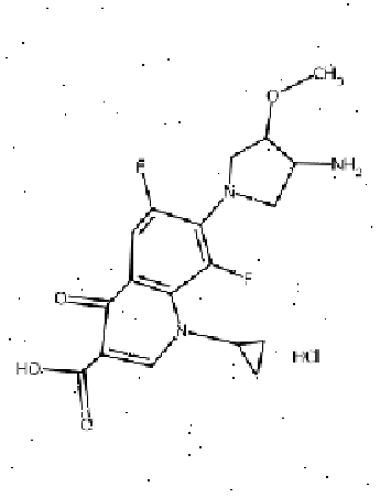 COC1CN(c2c(F)cc3c(=O)c(C(=O)O)cn(C4CC4)c3c2F)CC1N.Cl